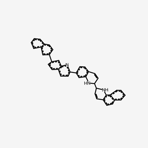 C1=CC(C2C=Cc3ccc4ccccc4c3N2)Nc2cc(-c3ccc4ccc(-c5ccc6ccccc6c5)cc4n3)ccc21